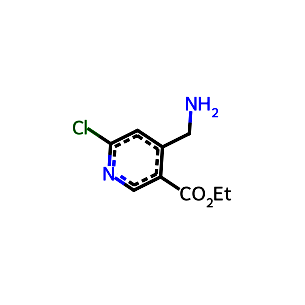 CCOC(=O)c1cnc(Cl)cc1CN